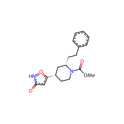 COC(=O)N1CC[C@H](c2cc(=O)[nH]o2)C[C@@H]1CCc1ccccc1